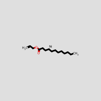 C=CCOC(=O)CCCCCCCCCCC.[Ni]